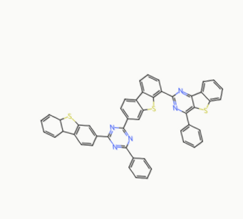 C1=CC2Sc3cc(-c4nc(-c5ccccc5)nc(-c5ccc6c(c5)sc5c(-c7nc(-c8ccccc8)c8sc9ccccc9c8n7)cccc56)n4)ccc3C2C=C1